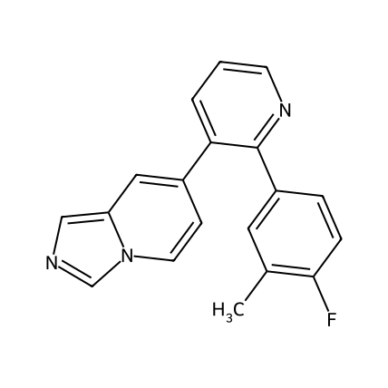 Cc1cc(-c2ncccc2-c2ccn3cncc3c2)ccc1F